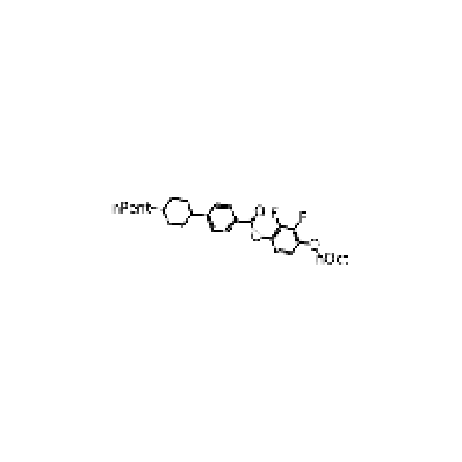 CCCCCCCCOc1ccc(OC(=O)c2ccc(C3CCC(CCCCC)CC3)cc2)c(F)c1F